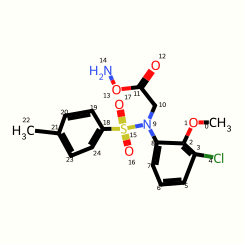 COc1c(Cl)cccc1N(CC(=O)ON)S(=O)(=O)c1ccc(C)cc1